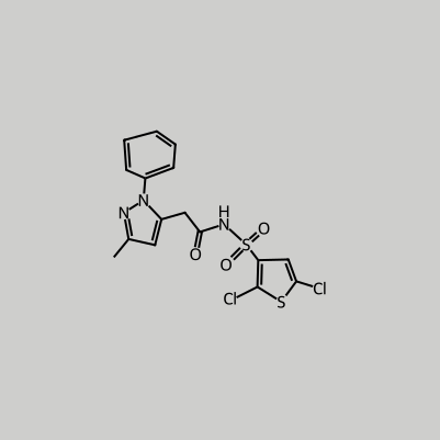 Cc1cc(CC(=O)NS(=O)(=O)c2cc(Cl)sc2Cl)n(-c2ccccc2)n1